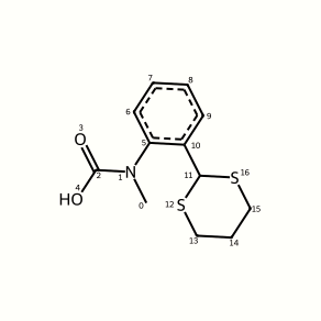 CN(C(=O)O)c1ccccc1C1SCCCS1